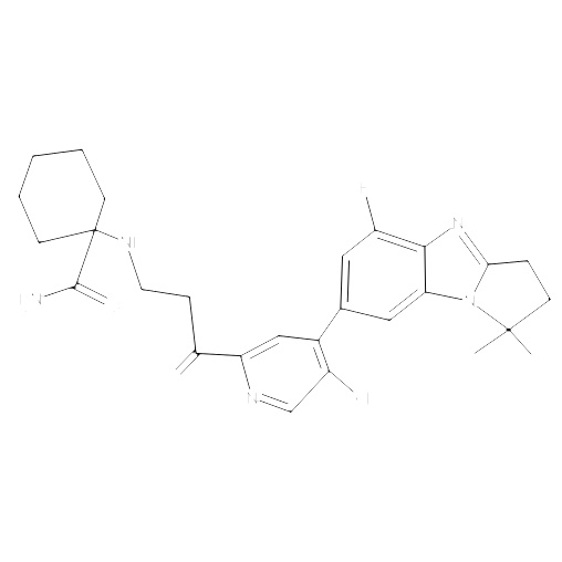 CC1(C)CCc2nc3c(F)cc(-c4cc(C(=O)CCNC5(C(N)=O)CCCCC5)ncc4Cl)cc3n21